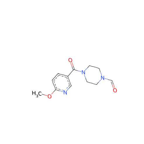 COc1ccc(C(=O)N2CCN(C=O)CC2)cn1